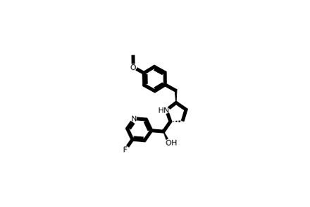 COc1ccc(C[C@H]2CC[C@H]([C@@H](O)c3cncc(F)c3)N2)cc1